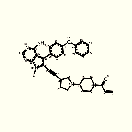 C=CC(=O)N1CCC(N2CCC(C#Cc3c(-c4ccc(Oc5ccccc5)cc4)c4c(N)ncnc4n3C)C2)CC1